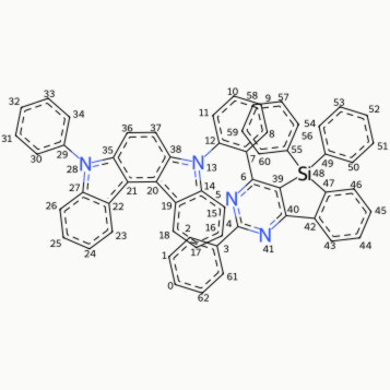 c1ccc(-c2nc(-c3ccccc3-n3c4ccccc4c4c5c6ccccc6n(-c6ccccc6)c5ccc43)c3c(n2)-c2ccccc2[Si]3(c2ccccc2)c2ccccc2)cc1